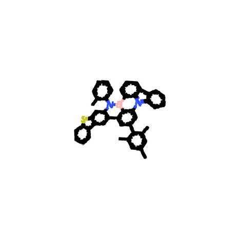 Cc1cc(C)c(-c2cc3c4c(c2)-n2c5ccccc5c5cccc(c52)B4N(c2ccccc2C)c2cc4sc5ccccc5c4cc2-3)c(C)c1